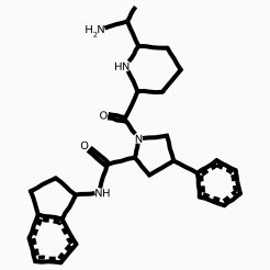 CC(N)C1CCCC(C(=O)N2CC(c3ccccc3)CC2C(=O)NC2CCc3ccccc32)N1